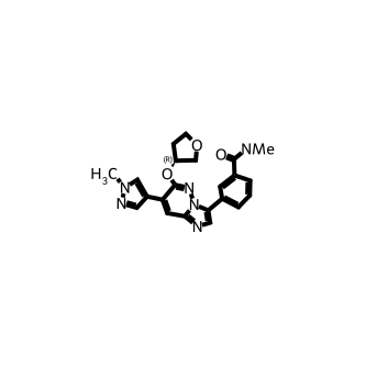 CNC(=O)c1cccc(-c2cnc3cc(-c4cnn(C)c4)c(O[C@@H]4CCOC4)nn23)c1